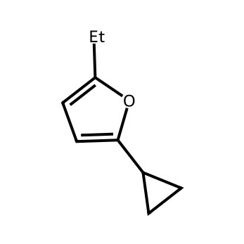 CCc1ccc(C2CC2)o1